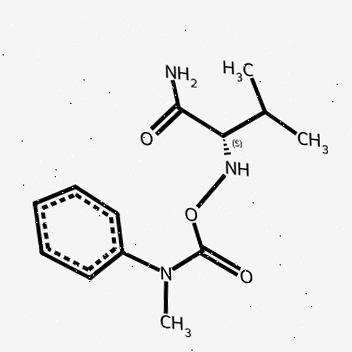 CC(C)[C@H](NOC(=O)N(C)c1ccccc1)C(N)=O